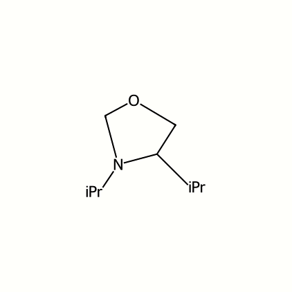 CC(C)C1COCN1C(C)C